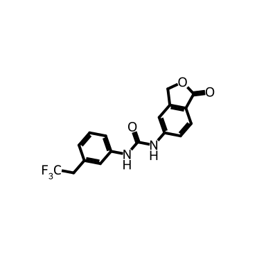 O=C(Nc1cccc(CC(F)(F)F)c1)Nc1ccc2c(c1)COC2=O